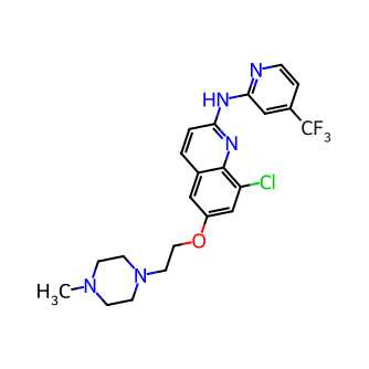 CN1CCN(CCOc2cc(Cl)c3nc(Nc4cc(C(F)(F)F)ccn4)ccc3c2)CC1